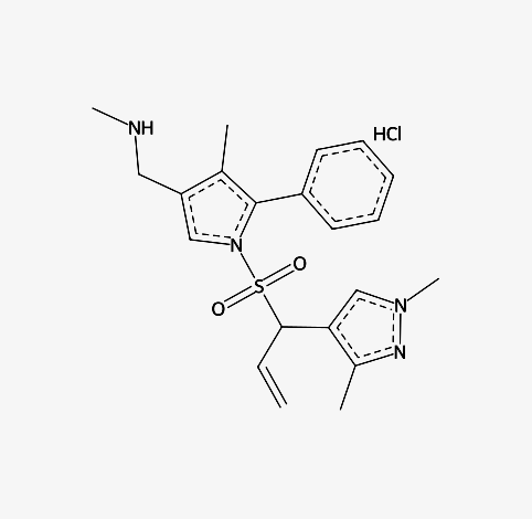 C=CC(c1cn(C)nc1C)S(=O)(=O)n1cc(CNC)c(C)c1-c1ccccc1.Cl